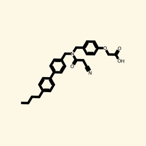 CCCCc1ccc(-c2ccc(CN(Cc3ccc(OCC(=O)O)cc3)C(=O)CC#N)cc2)cc1